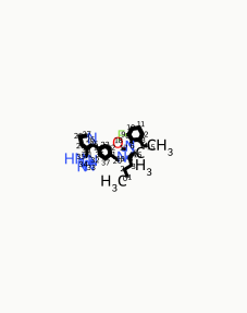 CCCCc1cn(-c2c(F)cccc2C(C)C)c(=O)n1Cc1ccc(-c2ncccc2-c2nnn[nH]2)cc1